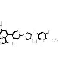 CCOc1cc(-c2ccc(N3C[C@H](Oc4cnc(OC)c(F)c4)[C@@H](N)C3)nc2)c2c(C#N)cnn2c1